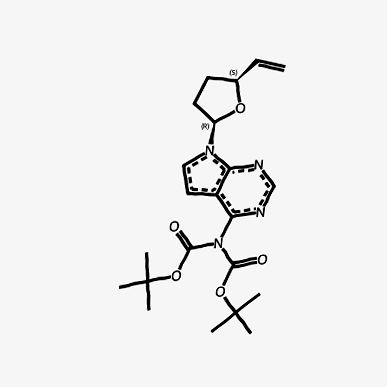 C=C[C@@H]1CC[C@H](n2ccc3c(N(C(=O)OC(C)(C)C)C(=O)OC(C)(C)C)ncnc32)O1